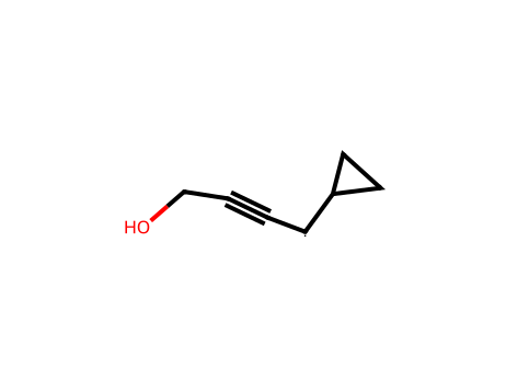 OCC#C[CH]C1CC1